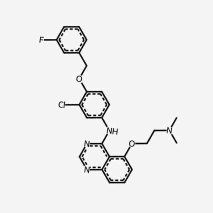 CN(C)CCOc1cccc2ncnc(Nc3ccc(OCc4cccc(F)c4)c(Cl)c3)c12